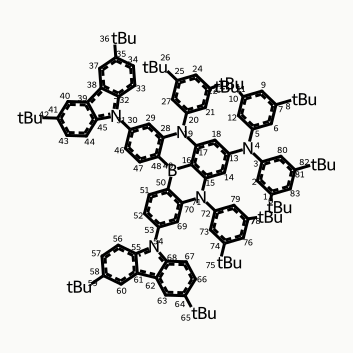 CC(C)(C)c1cc(N(c2cc(C(C)(C)C)cc(C(C)(C)C)c2)c2cc3c4c(c2)N(c2cc(C(C)(C)C)cc(C(C)(C)C)c2)c2cc(-n5c6ccc(C(C)(C)C)cc6c6cc(C(C)(C)C)ccc65)ccc2B4c2ccc(-n4c5ccc(C(C)(C)C)cc5c5cc(C(C)(C)C)ccc54)cc2N3c2cc(C(C)(C)C)cc(C(C)(C)C)c2)cc(C(C)(C)C)c1